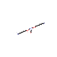 CCCCCCCC/C=C\CCCCCCCC(=O)OCCN(CCOC(=O)CCCCCCC/C=C\CCCCCCCC)C[C@@H](O)CO